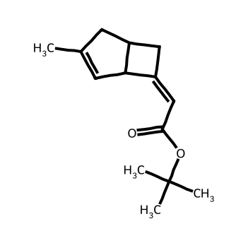 CC1=CC2/C(=C\C(=O)OC(C)(C)C)CC2C1